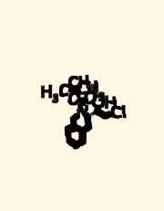 CC(C)(C)OC(=O)N1Cc2ccccc2C[C@H]1C(O)CCl